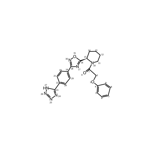 O=C(COc1ccccc1)N1CCCC[C@@H]1c1nc(-c2ccc(-c3nnn[nH]3)cc2)no1